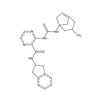 CC1CC2=CCC(NC(=O)Nc3nccnc3C(=O)NC3Cc4ccccc4C3)(C2)C1